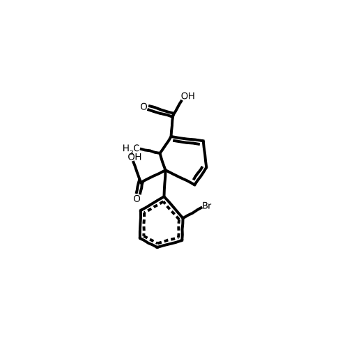 CC1C(C(=O)O)=CC=CC1(C(=O)O)c1ccccc1Br